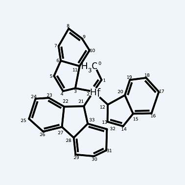 C[CH]=[Hf]([CH]1C=Cc2ccccc21)([CH]1C=Cc2ccccc21)[CH]1c2ccccc2-c2ccccc21